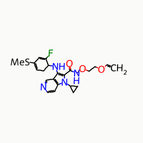 C=COCCONC(=O)c1c(NC2CC=C(SC)C=C2F)c2cnccc2n1C1CC1